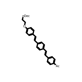 CCCCCCCCCCCCOc1ccc(/C=C/c2ccc(/C=C/c3ccc(C(C)=O)cc3)cc2)cc1